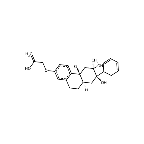 C=C(O)COc1ccc2c(c1)CC[C@@H]1C[C@@](O)(C3C=CC=CC3)[C@](C)(O)C[C@@]21CC